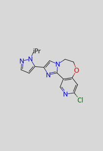 CC(C)n1nccc1-c1cn2c(n1)-c1cnc(Cl)cc1OCC2